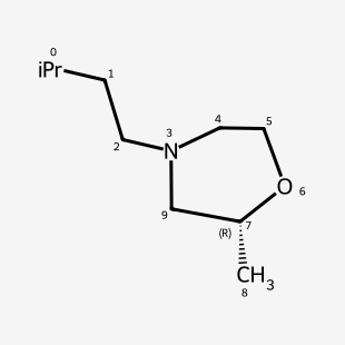 CC(C)CCN1CCO[C@H](C)C1